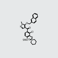 CSc1ccc(C(=O)c2cnn(C)c2OCc2ccc3ccccc3c2)c(Cl)c1N=S1(=O)CCCCC1